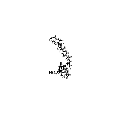 C=C(CN1CCOCC1)C(=O)N1CC(C(F)(F)c2ccc(N3CC(CN4CCC([C@@](CN5CCC5)(c5cccc(F)c5)[C@H]5CCC[C@@H]5NC(=O)O)CC4)C3)cc2)C1